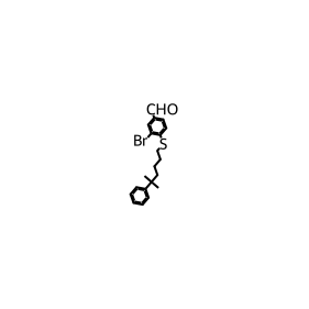 CC(C)(CCCCSc1ccc(C=O)cc1Br)c1ccccc1